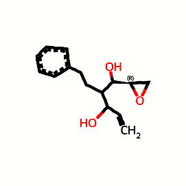 C=CC(O)C(CCc1ccccc1)C(O)[C@H]1CO1